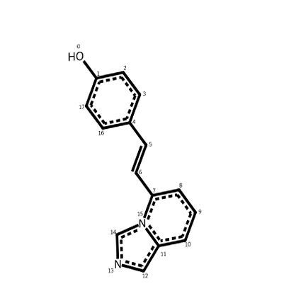 Oc1ccc(C=Cc2cccc3cncn23)cc1